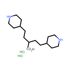 Cl.Cl.O=C(O)C(CCC1CCNCC1)CCC1CCNCC1